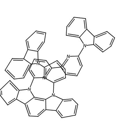 c1cc(-c2cccc(-n3c4ccccc4c4ccc5c6ccccc6n(-c6cccc(-n7c8ccccc8c8ccccc87)n6)c5c43)n2)nc(-n2c3ccccc3c3ccccc32)c1